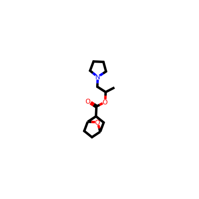 CC(CN1CCCC1)OC(=O)C1CC2CCC1O2